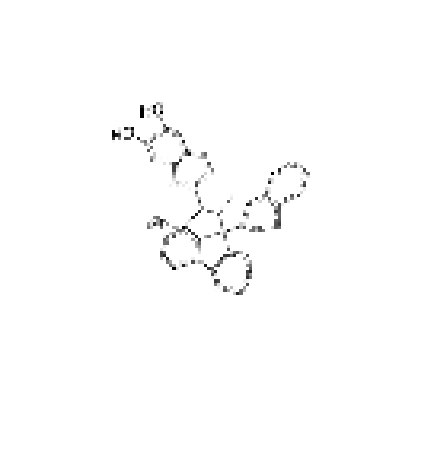 CC(C)CC(c1ccc2cc(O)c(O)cc2c1)C(C)C1(c2ccc3ccccc3c2)c2ccccc2-c2ccccc21